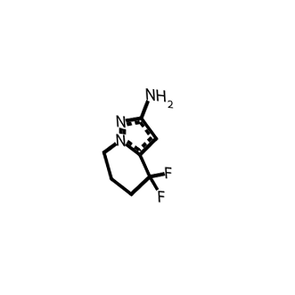 Nc1cc2n(n1)CCCC2(F)F